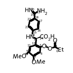 CCC(=O)OOc1cc(OC)c(OC)cc1[C@@H](Nc1ccc(C(=N)N)cc1)C(=O)O